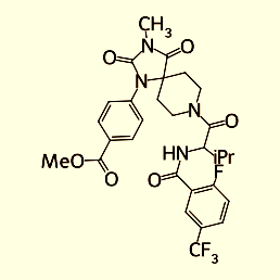 COC(=O)c1ccc(N2C(=O)N(C)C(=O)C23CCN(C(=O)C(NC(=O)c2cc(C(F)(F)F)ccc2F)C(C)C)CC3)cc1